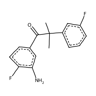 CC(C)(C(=O)c1ccc(F)c(N)c1)c1cccc(F)c1